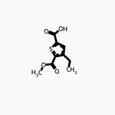 CCc1cc(C(=O)O)sc1C(=O)OC